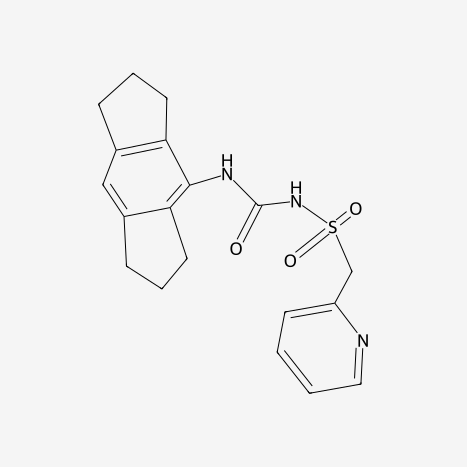 O=C(Nc1c2c(cc3c1CCC3)CCC2)NS(=O)(=O)Cc1ccccn1